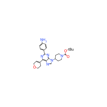 CC(C)(C)OC(=O)N1CCC(n2cnc3c(C4=CCOCC4)nc(-c4ccc(N)cc4)nc32)CC1